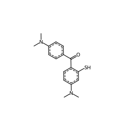 CN(C)c1ccc(C(=O)c2ccc(N(C)C)cc2S)cc1